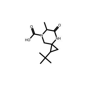 CC1C(=O)NC2(CC2C(C)(C)C)CN1C(=O)O